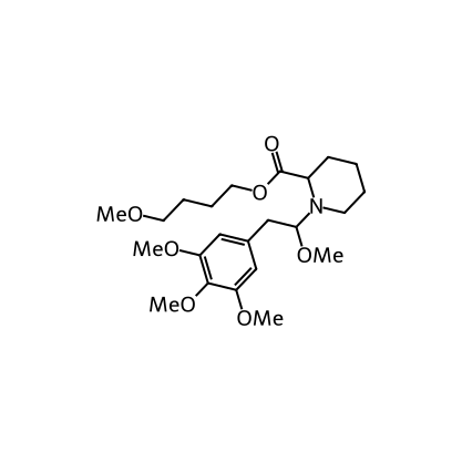 COCCCCOC(=O)C1CCCCN1C(Cc1cc(OC)c(OC)c(OC)c1)OC